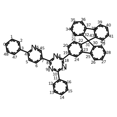 c1ccc(-c2ccc(-c3nc(-c4ccccc4)nc(-c4ccc5c(c4)-c4ccccc4C54c5ccccc5-c5ccccc54)n3)cn2)cc1